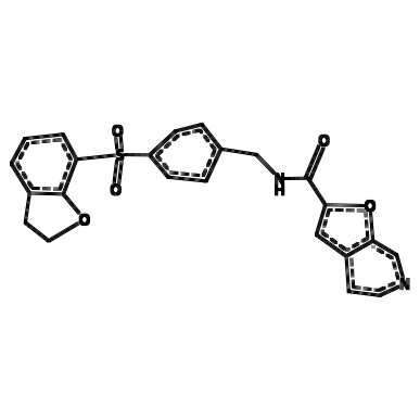 O=C(NCc1ccc(S(=O)(=O)c2cccc3c2OCC3)cc1)c1cc2ccncc2o1